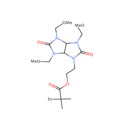 CCC(C)(C)C(=O)OCCN1C(=O)N(COC)C2C1N(COC)C(=O)N2COC